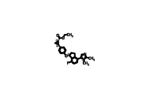 CCOC(=O)[C@H]1C[C@@H]1c1ccc(O[C@@H]2CCc3c(-c4cnc(C)n4C)ccc(F)c32)cc1